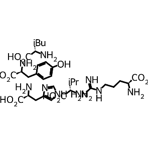 CC(C)[C@H](N)C(=O)O.CCC(C)[C@H](N)C(=O)O.N=C(N)NCCC[C@H](N)C(=O)O.N[C@@H](Cc1c[nH]cn1)C(=O)O.N[C@@H](Cc1ccc(O)cc1)C(=O)O